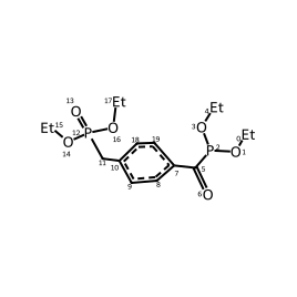 CCOP(OCC)C(=O)c1ccc(CP(=O)(OCC)OCC)cc1